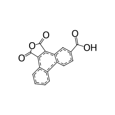 O=C(O)c1ccc2c(c1)c1c(c3ccccc32)C(=O)OC1=O